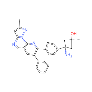 Cc1cc2ncc3cc(-c4ccccc4)c(-c4ccc([C@]5(N)C[C@@](C)(O)C5)cc4)nc3n2n1